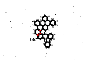 CC(C)(C)c1cc2c3c(c1)-n1c4ccccc4c4cccc(c41)B3c1cc(-c3ccccc3-c3ccccc3)cc(-c3ccccc3-c3ccccc3)c1O2